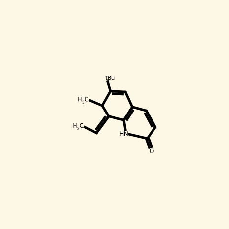 C/C=C1/c2[nH]c(=O)ccc2C=C(C(C)(C)C)C1C